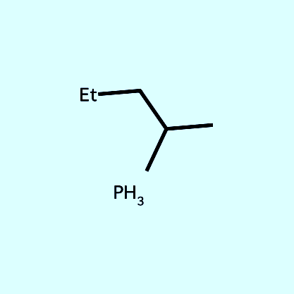 CCCC(C)C.P